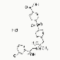 CC(C)(Cc1ccc(S(=O)(=O)c2ccc(C(=O)O)cc2)cc1)NC[C@@H](O)c1cccc(Cl)c1.Cl